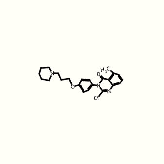 CCc1nc2cccc(C)c2c(=O)n1-c1ccc(OCCCN2CCCCC2)cc1